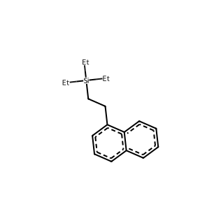 CC[Si](CC)(CC)CCc1cccc2ccccc12